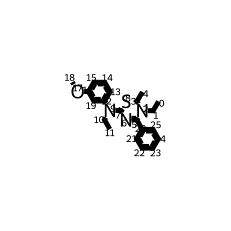 CCN(CC)C(=NC(=S)N(CC)c1cccc(OC)c1)c1ccccc1